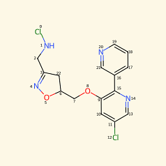 ClNCC1=NOC(COc2cc(Cl)cnc2-c2cccnc2)C1